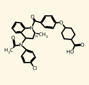 CC(=O)N(c1ccc(Cl)cc1)C1C[C@H](C)N(C(=O)c2ccc(OC3CCC(C(=O)O)CC3)cc2)c2ccccc21